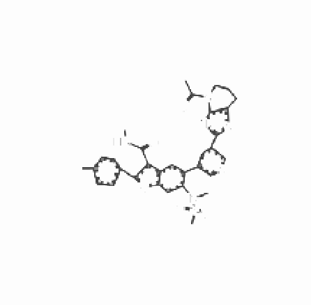 CNC(=O)c1c(-c2ccc(F)cc2)oc2cc(N(C)S(C)(=O)=O)c(-c3cncc(-c4nc5c(s4)CCCN5C(C)=O)c3)cc12